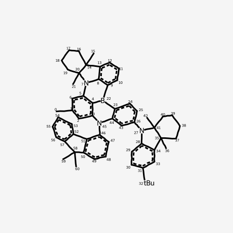 Cc1cc2c3c(c1)N1c4c(cccc4C4(C)CCCCC14C)B3c1ccc(N3c4ccc(C(C)(C)C)cc4C4(C)CCCCC34C)cc1N2c1cccc2c1-c1ccccc1C2(C)C